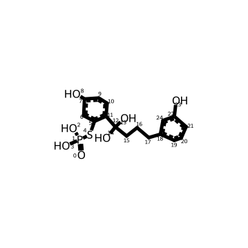 O=P(O)(O)Sc1cc(O)ccc1C(O)(O)CCCc1cccc(O)c1